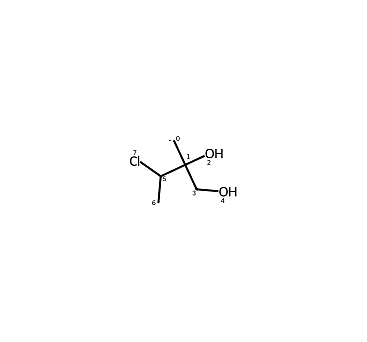 [CH2]C(O)(CO)C(C)Cl